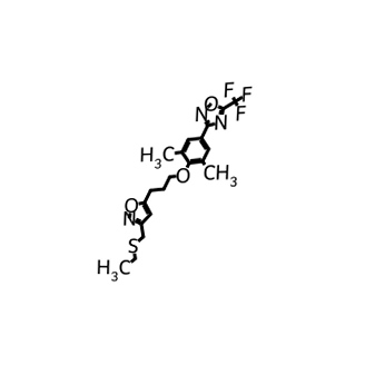 CCSCc1cc(CCCOc2c(C)cc(-c3noc(C(F)(F)F)n3)cc2C)on1